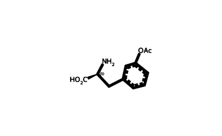 CC(=O)Oc1cccc(C[C@H](N)C(=O)O)c1